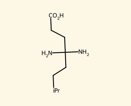 CC(C)CCC(N)(N)CCC(=O)O